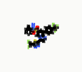 CC1(NS(=O)(=O)c2cc(-c3ccc(C(F)(F)F)cc3)c3ncc(-c4nnc(C(F)F)s4)n3c2)CC1